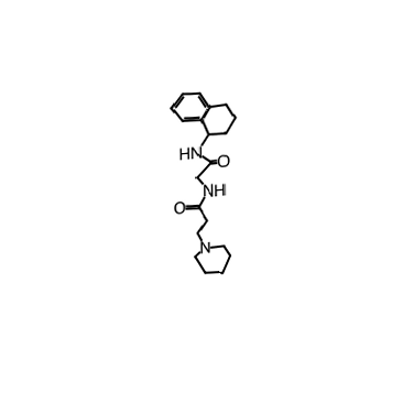 O=C(CCN1CCCCC1)NCC(=O)NC1CCCc2ccccc21